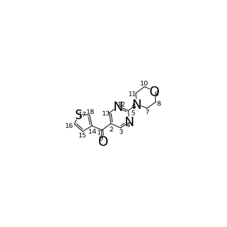 O=C(c1cnc(N2CCOCC2)nc1)c1ccsc1